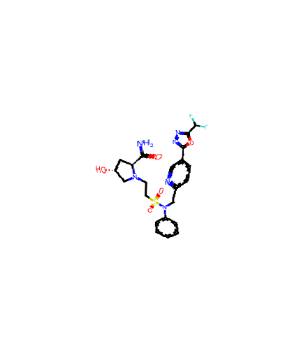 NC(=O)[C@@H]1C[C@@H](O)CN1CCS(=O)(=O)N(Cc1ccc(-c2nnc(C(F)F)o2)cn1)c1ccccc1